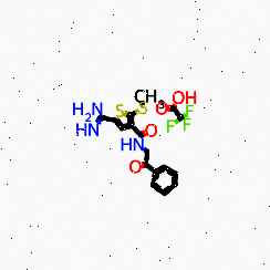 CSc1sc(C(=N)N)cc1C(=O)NCC(=O)c1ccccc1.O=C(O)C(F)(F)F